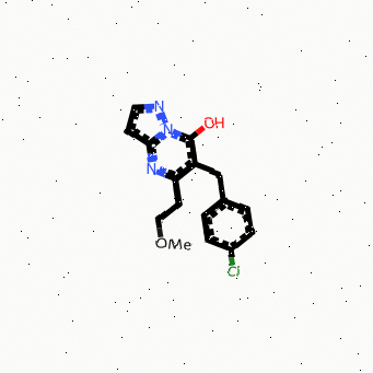 COCCc1nc2ccnn2c(O)c1Cc1ccc(Cl)cc1